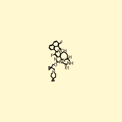 C#Cc1c(F)ccc2cccc(-c3nc4c5c(nc(OCC6(CN7CCC8(CC7)CC8)CC6)nc5c3F)N3C[C@@H](CC)NC[C@H]3CCC4)c12